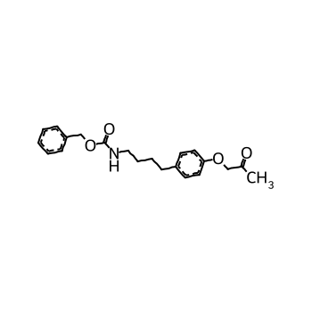 CC(=O)COc1ccc(CCCCNC(=O)OCc2ccccc2)cc1